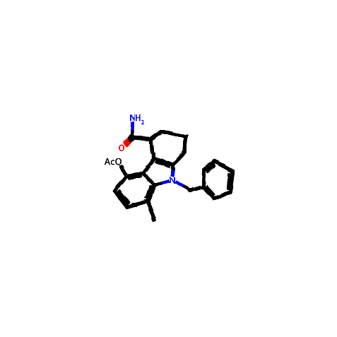 CC(=O)Oc1ccc(C)c2c1c1c(n2Cc2ccccc2)CCCC1C(N)=O